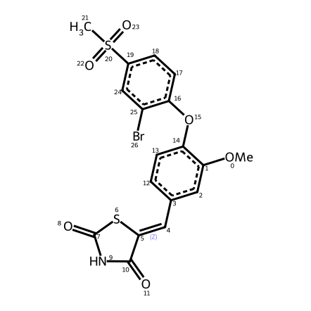 COc1cc(/C=C2\SC(=O)NC2=O)ccc1Oc1ccc(S(C)(=O)=O)cc1Br